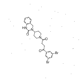 O=C(CCC(=O)N1CCC(N2Cc3ccccc3NC2=O)CC1)c1cc(Br)cc(Br)c1